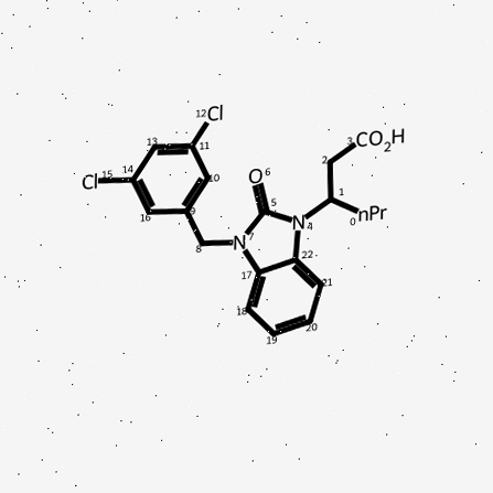 CCCC(CC(=O)O)n1c(=O)n(Cc2cc(Cl)cc(Cl)c2)c2ccccc21